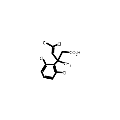 CC(C=C(Cl)Cl)(CC(=O)O)c1c(Cl)cccc1Cl